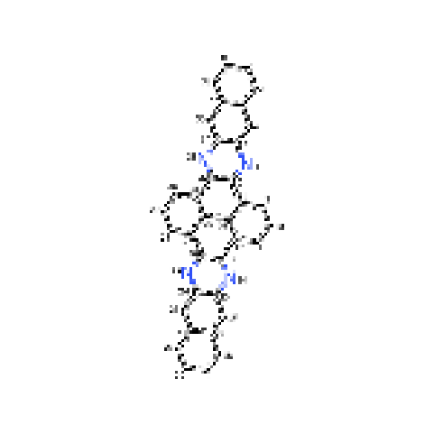 c1ccc2cc3nc4c5cccc6c7nc8cc9ccccc9cc8nc7c7cccc(c4nc3cc2c1)c7c56